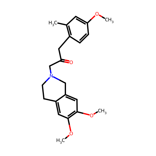 COc1ccc(CC(=O)CN2CCc3cc(OC)c(OC)cc3C2)c(C)c1